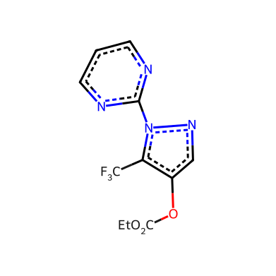 CCOC(=O)Oc1cnn(-c2ncccn2)c1C(F)(F)F